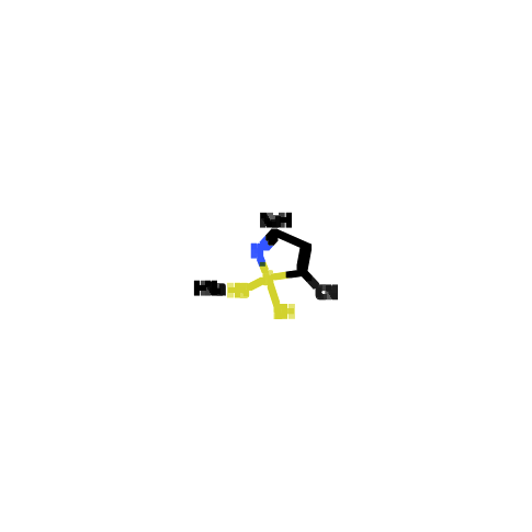 N#CC1=CC=NS1(S)S.[NaH].[NaH]